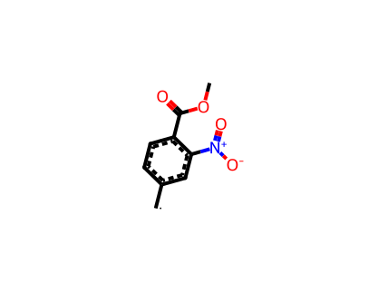 [CH2]c1ccc(C(=O)OC)c([N+](=O)[O-])c1